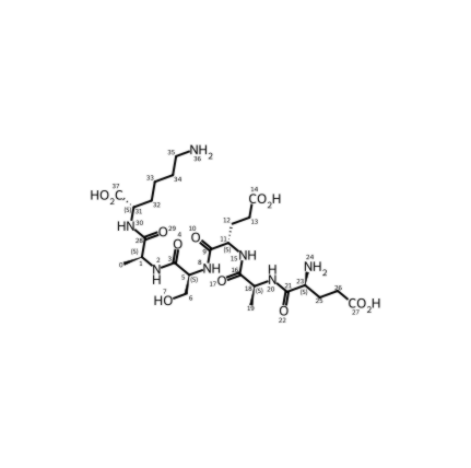 C[C@H](NC(=O)[C@H](CO)NC(=O)[C@H](CCC(=O)O)NC(=O)[C@H](C)NC(=O)[C@@H](N)CCC(=O)O)C(=O)N[C@@H](CCCCN)C(=O)O